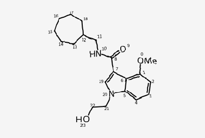 COc1cccc2c1c(C(=O)NCC1CCCCCC1)cn2CCO